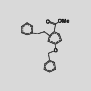 COC(=O)c1ccc(OCc2ccccc2)cc1CCc1ccccc1